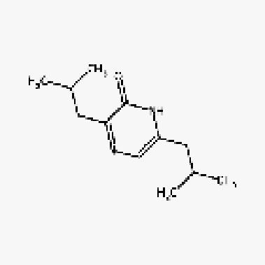 CC(C)Cc1cnc(CC(C)C)c(=O)[nH]1